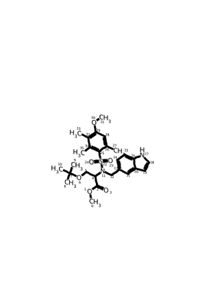 COC(=O)C(COC(C)(C)C)N(Cc1ccc2[nH]ccc2c1)S(=O)(=O)c1c(C)cc(OC)c(C)c1C